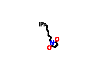 CC(C)CCCCCCN1C(=O)C=CC1=O